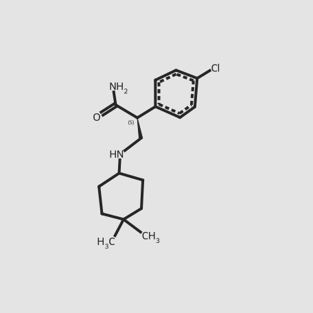 CC1(C)CCC(NC[C@@H](C(N)=O)c2ccc(Cl)cc2)CC1